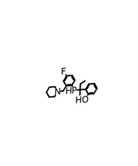 CCC(C)(Pc1ccc(F)cc1CN1CCCCC1)c1ccccc1O